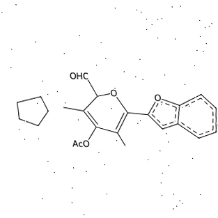 C1CCCC1.CC(=O)OC1=C(C)C(C=O)OC(c2cc3ccccc3o2)=C1C